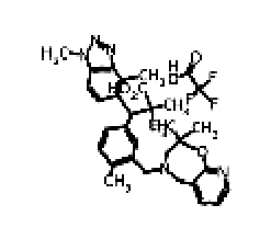 Cc1ccc(C(c2ccc3c(nnn3C)c2C)C(C)(C)C(=O)O)cc1CN1Cc2cccnc2OC(C)(C)C1.O=C(O)C(F)(F)F